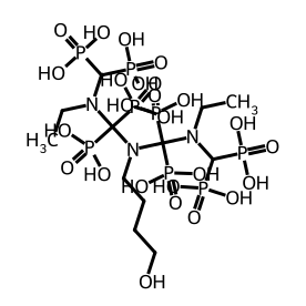 CCN(C(P(=O)(O)O)P(=O)(O)O)C(N(CCCCO)C(N(CC)C(P(=O)(O)O)P(=O)(O)O)(P(=O)(O)O)P(=O)(O)O)(P(=O)(O)O)P(=O)(O)O